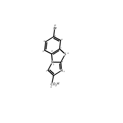 O=C(O)c1cn2c(n1)sc1cc(Br)ccc12